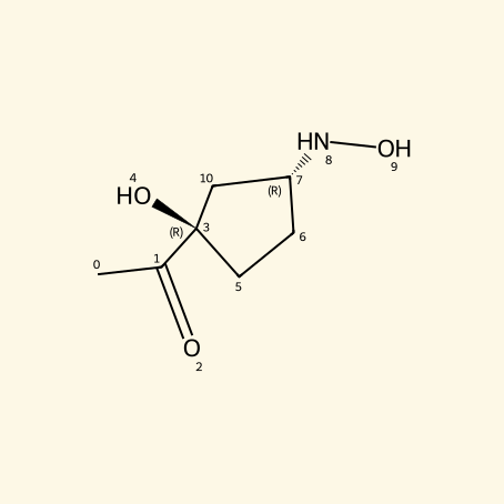 CC(=O)[C@@]1(O)CC[C@@H](NO)C1